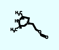 C[C@@H]1CN(CCOC=O)C[C@H](C)N1